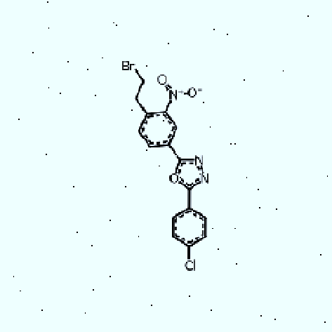 O=[N+]([O-])c1cc(-c2nnc(-c3ccc(Cl)cc3)o2)ccc1CCBr